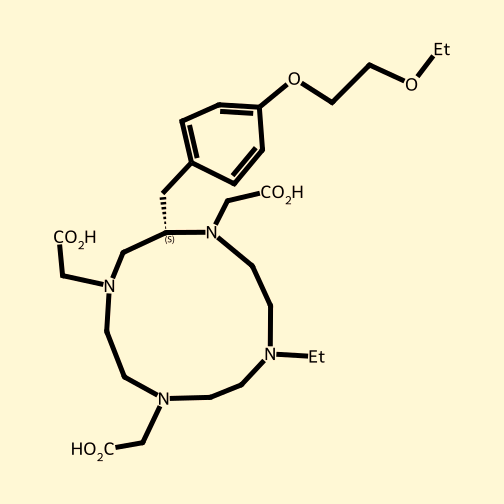 CCOCCOc1ccc(C[C@H]2CN(CC(=O)O)CCN(CC(=O)O)CCN(CC)CCN2CC(=O)O)cc1